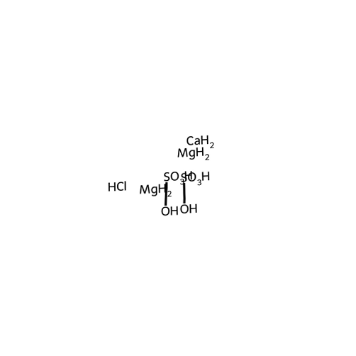 Cl.O=S(=O)(O)O.O=S(=O)(O)O.[CaH2].[MgH2].[MgH2]